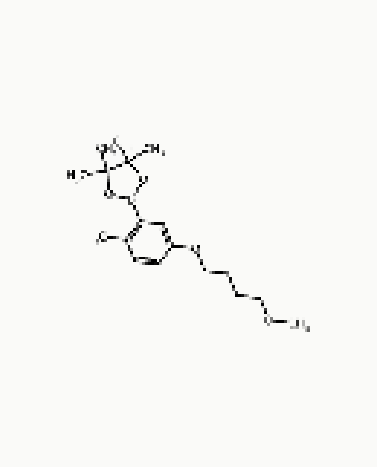 COCCCCOc1ccc(C)c(B2OC(C)(C)C(C)(C)O2)c1